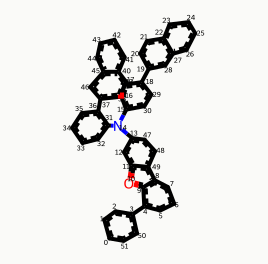 c1ccc(-c2cccc3c2oc2cc(N(c4ccc(-c5ccc6ccccc6c5)cc4)c4ccccc4-c4ccc5ccccc5c4)ccc23)cc1